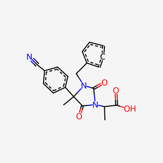 CC(C(=O)O)N1C(=O)N(Cc2ccccc2)C(C)(c2ccc(C#N)cc2)C1=O